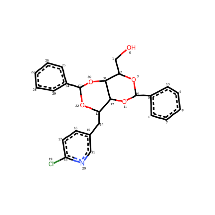 OCC1OC(c2ccccc2)OC2C(Cc3ccc(Cl)nc3)OC(c3ccccc3)OC12